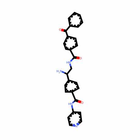 NC(CNC(=O)c1ccc(C(=O)c2ccccc2)cc1)c1ccc(C(=O)Nc2ccncc2)cc1